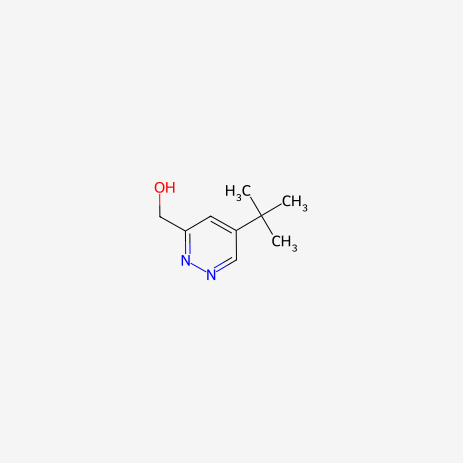 CC(C)(C)c1cnnc(CO)c1